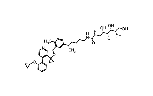 Cc1ccc(C(C)CCCCNC(=O)NC[C@H](O)[C@@H](O)[C@H](O)[C@H](O)CO)cc1COC1(c2cnccc2-c2ccccc2OC2CC2)CC1